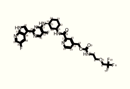 O=C(NCCOCC(F)(F)F)OCc1ccnc(C(=O)NC2CCC[C@H](Nc3nc(-c4c[nH]c5ncc(F)cc45)ncc3F)C2)c1